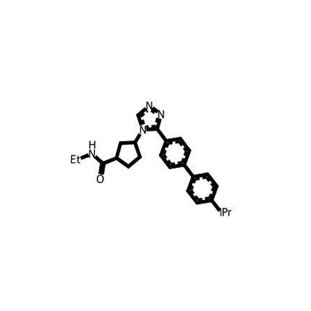 CCNC(=O)C1CCC(n2cnnc2-c2ccc(-c3ccc(C(C)C)cc3)cc2)C1